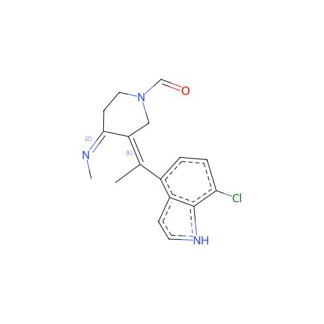 C/N=C1/CCN(C=O)C/C1=C(/C)c1ccc(Cl)c2[nH]ccc12